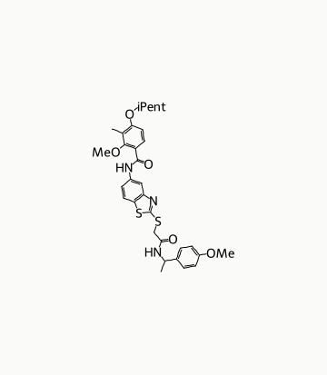 CCCC(C)Oc1ccc(C(=O)Nc2ccc3sc(SCC(=O)NC(C)c4ccc(OC)cc4)nc3c2)c(OC)c1C